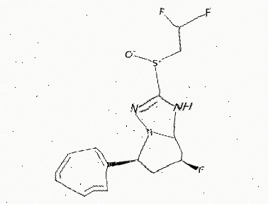 [O-][S+](CC(F)F)C1=NN2C(N1)[C@@H](F)C[C@H]2c1ccccc1